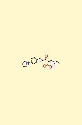 CCN/C=C(/C(=O)/C=C/c1ccc(N2CCCC2)cc1)C(=O)OC